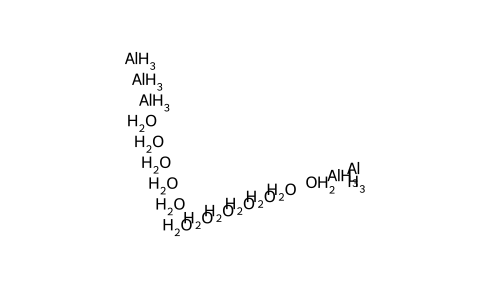 O.O.O.O.O.O.O.O.O.O.O.O.[AlH3].[AlH3].[AlH3].[AlH3].[AlH3]